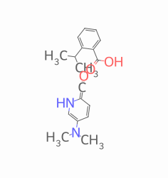 CC(C)c1ccccc1C(=O)O.CN(C)C1=CNC(=C=O)C=C1